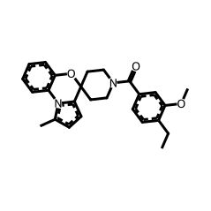 CCc1ccc(C(=O)N2CCC3(CC2)Oc2ccccc2-n2c(C)ccc23)cc1OC